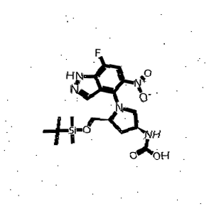 CC(C)(C)[Si](C)(C)OC[C@@H]1C[C@H](NC(=O)O)CN1c1c([N+](=O)[O-])cc(F)c2[nH]ncc12